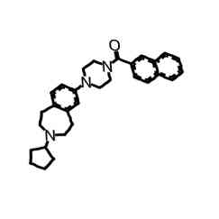 O=C(c1ccc2ccccc2c1)N1CCN(c2ccc3c(c2)CCN(C2CCCC2)CC3)CC1